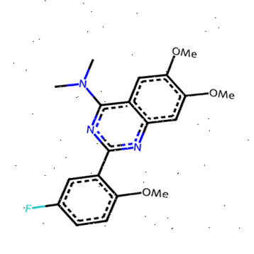 COc1cc2nc(-c3cc(F)ccc3OC)nc(N(C)C)c2cc1OC